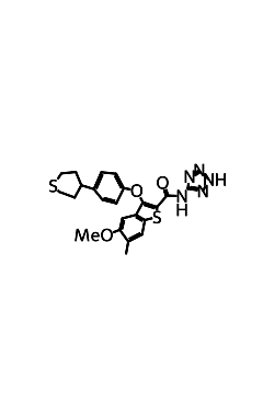 COc1cc2c(Oc3ccc(C4CCSCC4)cc3)c(C(=O)Nc3nn[nH]n3)sc2cc1C